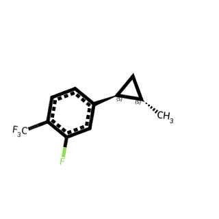 C[C@H]1C[C@@H]1c1ccc(C(F)(F)F)c(F)c1